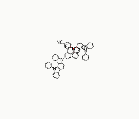 N#Cc1ccc(-n2c3ccccc3c3c2ccc2c4ccccc4n(-c4ccccc4)c23)c(-c2cc(-n3c4ccccc4c4c3ccc3c5ccccc5n(-c5ccccc5)c34)ccc2-c2ccc(C#N)cc2C(F)(F)F)c1